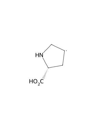 O=C(O)[C@H]1C[CH]CN1